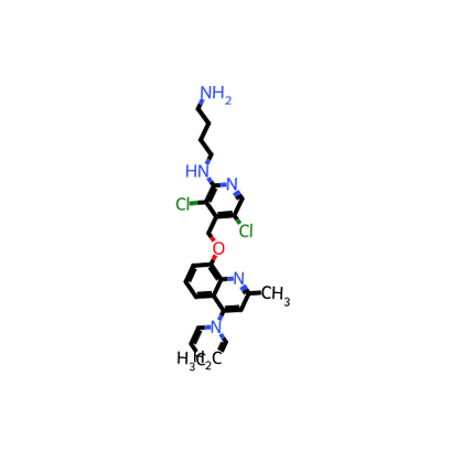 C=CN(/C=C\C)c1cc(C)nc2c(OCc3c(Cl)cnc(NCCCCN)c3Cl)cccc12